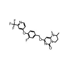 CC1CCn2c(cc(OCc3ccc(Oc4ccnc(C(F)(F)F)c4)c(F)c3)nc2=O)N1C